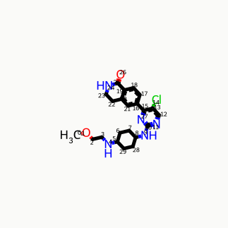 COCCNC1CCC(Nc2ncc(Cl)c(-c3ccc4c(c3)CCNC4=O)n2)CC1